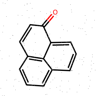 O=C1C=Cc2cccc3[c]ccc1c23